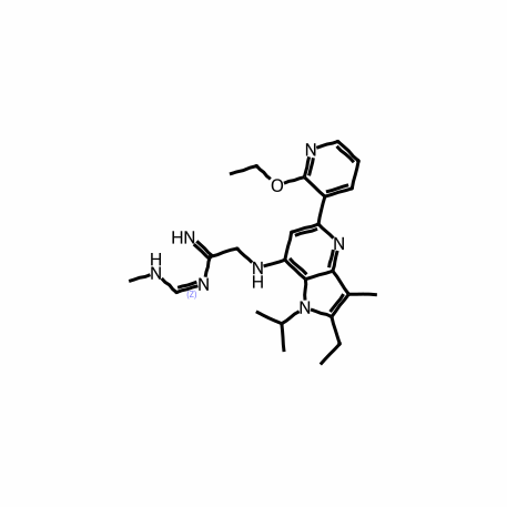 CCOc1ncccc1-c1cc(NCC(=N)/N=C\NC)c2c(n1)c(C)c(CC)n2C(C)C